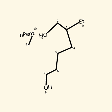 CCC(CO)CCCCO.CCCCCC